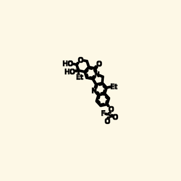 CCc1c2c(nc3ccc(OS(=O)(=O)F)cc13)-c1cc3c(c(=O)n1C2)COC(O)[C@]3(O)CC